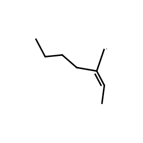 [CH2]/C(=C/C)CCCC